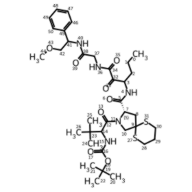 CCCC(NC(=O)[C@@H]1CC2(CN1C(=O)C(NC(=O)OC(C)(C)C)C(C)(C)C)SCCCS2)C(=O)C(=O)NCC(=O)NC(COC)c1ccccc1